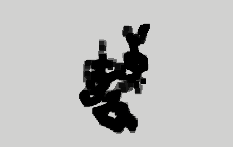 COC(=O)c1ccc([C@H](C)N(N)C(=O)c2c(C(F)(F)F)nn3c2N(Cc2cccc(C)c2)CC3)cc1